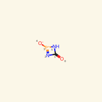 O=C1N=[P+]([O-])N1